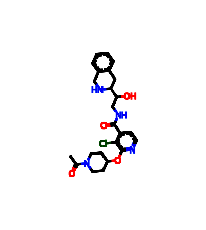 CC(=O)N1CCC(Oc2nccc(C(=O)NCC(O)[C@@H]3Cc4ccccc4CN3)c2Cl)CC1